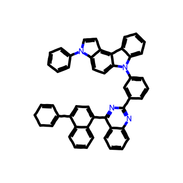 C1=CC(c2ccc(-c3nc(-c4cccc(-n5c6ccccc6c6c7ccn(-c8ccccc8)c7ccc65)c4)nc4ccccc34)c3ccccc23)=CCC1